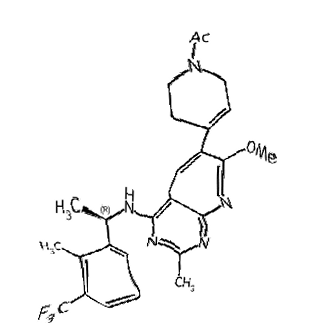 COc1nc2nc(C)nc(N[C@H](C)c3cccc(C(F)(F)F)c3C)c2cc1C1=CCN(C(C)=O)CC1